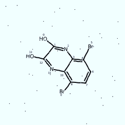 Oc1nc2c(Br)ccc(Br)c2nc1O